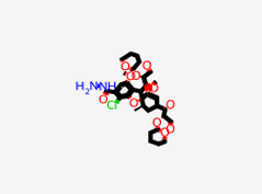 COC1=CC(C(=O)[C@H](C=O)OC2CCCCO2)C[C@@H](C)[C@@]12Oc1c(Cl)c(C(=O)NN)cc(OC)c1C2C(=O)[C@H](C=O)OC1CCCCO1